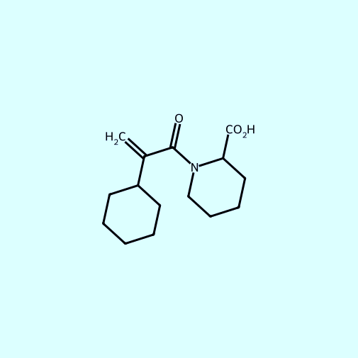 C=C(C(=O)N1CCCCC1C(=O)O)C1CCCCC1